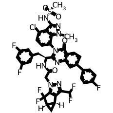 Cn1nc(NS(C)(=O)=O)c2c(Cl)ccc(-n3c([C@H](Cc4cc(F)cc(F)c4)NC(=O)Cn4nc(C(F)F)c5c4C(F)(F)[C@@H]4C[C@H]54)nc4cc(-c5ccc(F)cc5)ccc4c3=O)c21